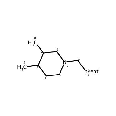 CCCCCCN1CCC(C)C(C)C1